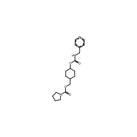 O=C(NCc1ccncc1)OC1CCC(COC(=O)N2CCCC2)CC1